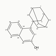 Oc1cc(C23CC4CC(CC(C4)C2)C3)c2ccccc2c1